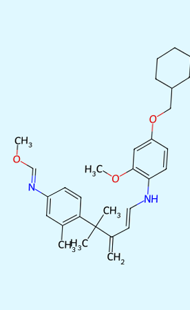 C=C(C=CNc1ccc(OCC2CCCCC2)cc1OC)C(C)(C)c1ccc(N=COC)cc1C